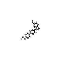 C=Cc1ccc2ncc(-c3ccc(N4CCN(CCC)CC4)cc3)n2n1